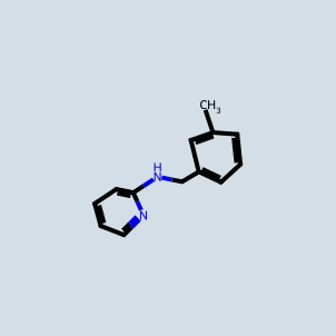 Cc1cccc(CNc2ccccn2)c1